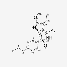 CCCc1ccc(S(=O)(=O)N[C@H](C)c2nnc(OC)n2CC)cc1